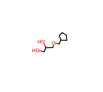 OCC(O)COCC1CCCC1